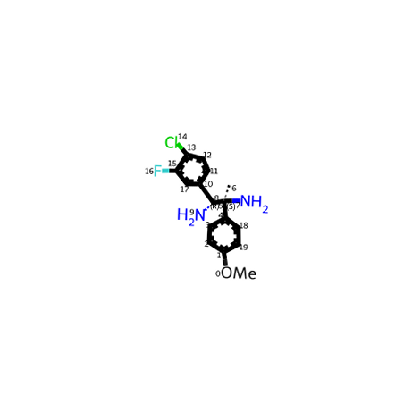 COc1ccc([C@](C)(N)[C@H](N)c2ccc(Cl)c(F)c2)cc1